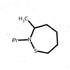 CC(C)N1SCCCCC1C